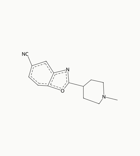 CN1CCC(c2nc3cc(C#N)ccc3o2)CC1